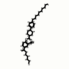 CCCCCCCCCCc1ccc(C2CCC(C(=O)Oc3ccc(C(C)CCCCCC)cc3C#N)CC2)cc1